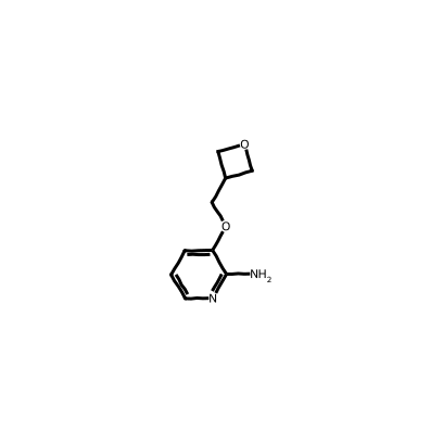 Nc1ncccc1OCC1COC1